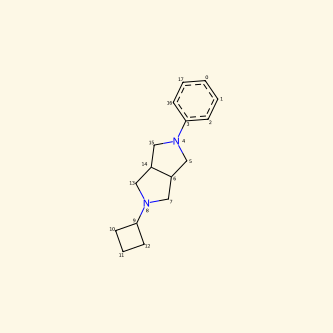 c1ccc(N2CC3CN(C4CCC4)CC3C2)cc1